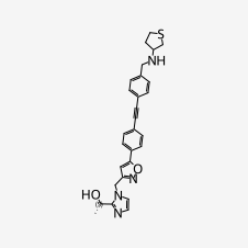 C[C@H](O)c1nccn1Cc1cc(-c2ccc(C#Cc3ccc(CNC4CCSC4)cc3)cc2)on1